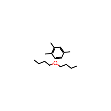 CCCCOCCCC.Cc1ccc(C)c(C)c1